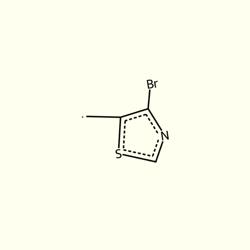 [CH2]c1scnc1Br